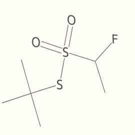 CC(F)S(=O)(=O)SC(C)(C)C